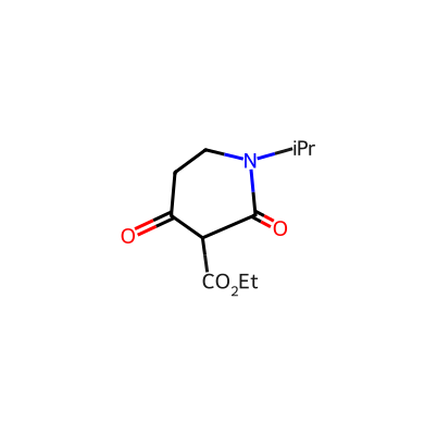 CCOC(=O)C1C(=O)CCN(C(C)C)C1=O